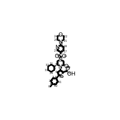 Cc1ccc(-c2cc(N3C(=O)CN(S(=O)(=O)c4ccc(N5CCOCC5)nc4)C[C@H]3C3CCCCC3)c(C(=O)O)s2)cc1